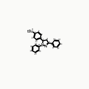 CC(C)(C)c1ccc(C2CC(c3ccccc3)=NN2c2ccccc2)cc1